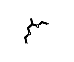 [CH2]COCC(C)OC[CH2]